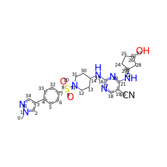 Cn1cc(-c2ccc(S(=O)(=O)N3CCC(Nc4ncc(C#N)c(N[C@H]5CC[C@H](O)C5)n4)CC3)cc2)cn1